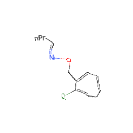 CCCC=NOCc1ccccc1Cl